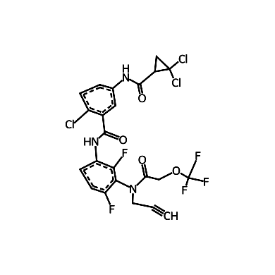 C#CCN(C(=O)COC(F)(F)F)c1c(F)ccc(NC(=O)c2cc(NC(=O)C3CC3(Cl)Cl)ccc2Cl)c1F